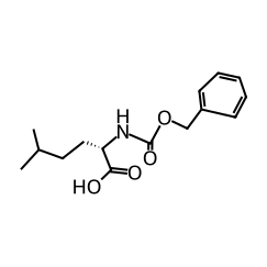 CC(C)CC[C@H](NC(=O)OCc1ccccc1)C(=O)O